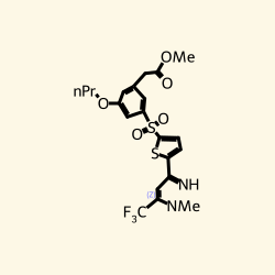 CCCOc1cc(CC(=O)OC)cc(S(=O)(=O)c2ccc(C(=N)/C=C(\NC)C(F)(F)F)s2)c1